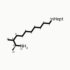 CCCCCCCCCCCCCCCC(C)[C@H](C)N